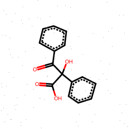 O=C(O)C(O)(C(=O)c1ccccc1)c1ccccc1